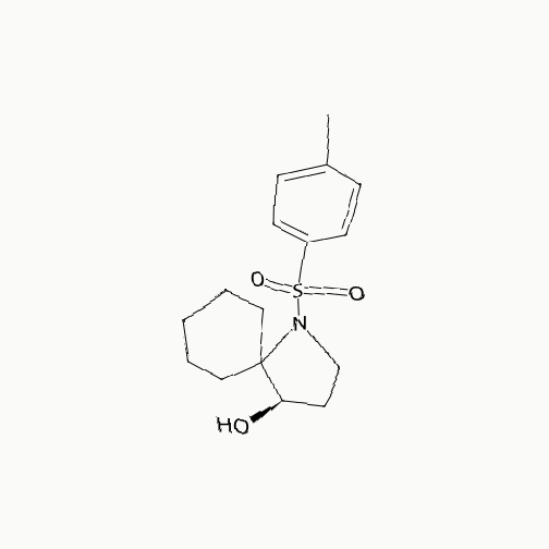 Cc1ccc(S(=O)(=O)N2CC[C@@H](O)C23CCCCC3)cc1